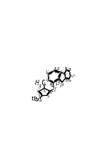 CC1C=C(C(C)(C)C)C=[C]1[Zr][c]1cccc2c1Cc1ccccc1-2